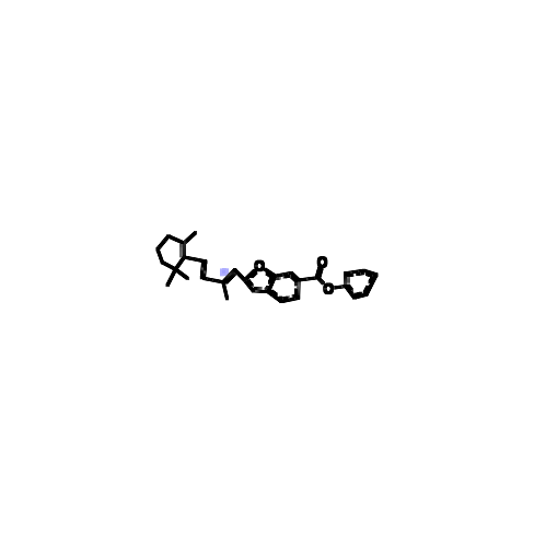 CC1=C(C=C/C(C)=C/c2cc3ccc(C(=O)Oc4ccccc4)cc3o2)C(C)(C)CCC1